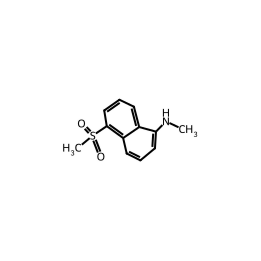 CNc1cccc2c(S(C)(=O)=O)cccc12